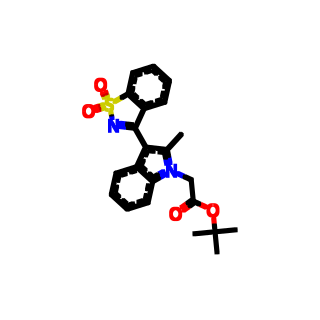 Cc1c(C2=NS(=O)(=O)c3ccccc32)c2ccccc2n1CC(=O)OC(C)(C)C